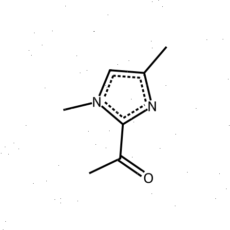 CC(=O)c1nc(C)cn1C